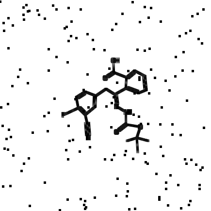 CC(C)(C)OC(=O)NN=C(Cc1ccc(F)c(C#N)c1)c1ccccc1C(=O)O